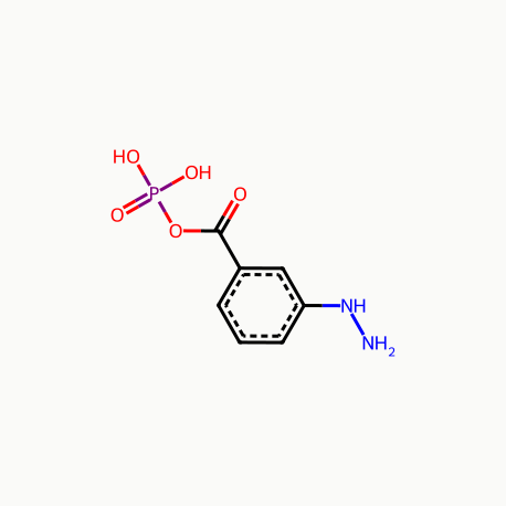 NNc1cccc(C(=O)OP(=O)(O)O)c1